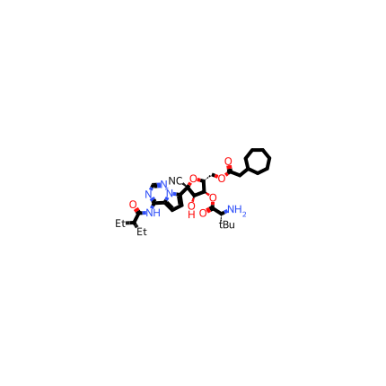 CCC(CC)C(=O)Nc1ncnn2c([C@]3(C#N)O[C@H](COC(=O)CC4CCCCCC4)[C@@H](OC(=O)[C@H](N)C(C)(C)C)[C@H]3O)ccc12